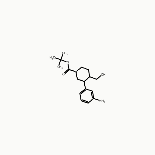 CC(C)(C)OC(=O)N1CCC(CO)C(c2cccc(N)c2)C1